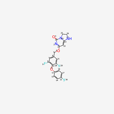 O=c1nc(OCc2cc(F)c(Oc3ccc(F)cc3)c(F)c2)cc2n1CCN2